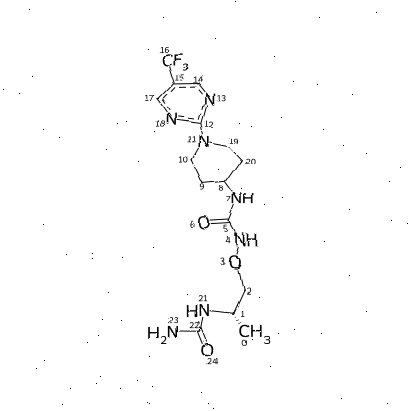 C[C@@H](CONC(=O)NC1CCN(c2ncc(C(F)(F)F)cn2)CC1)NC(N)=O